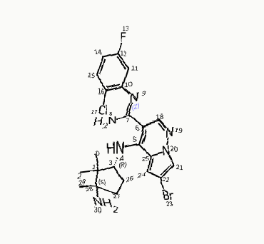 CC1(C)[C@H](Nc2c(/C(N)=N/c3cc(F)ccc3Cl)cnn3cc(Br)cc23)CC[C@]1(C)N